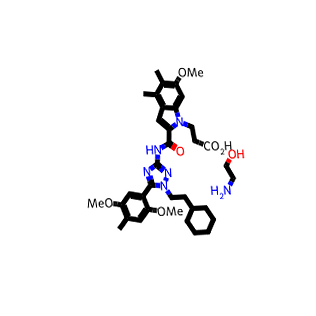 COc1cc(-c2nc(NC(=O)c3cc4c(C)c(C)c(OC)cc4n3CCC(=O)O)nn2CCC2CCCCC2)c(OC)cc1C.NCCO